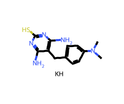 CN(C)c1ccc(Cc2c(N)nc(S)nc2N)cc1.[KH]